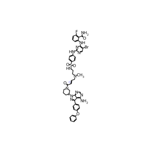 CN(C/C=C/C(=O)N1CCC[C@@H](n2nc(-c3ccc(Oc4ccccc4)cc3)c3c(N)ncnc32)C1)CCNS(=O)(=O)c1ccc(Nc2ncc(Br)c(Nc3cccc(F)c3C(N)=O)n2)cc1